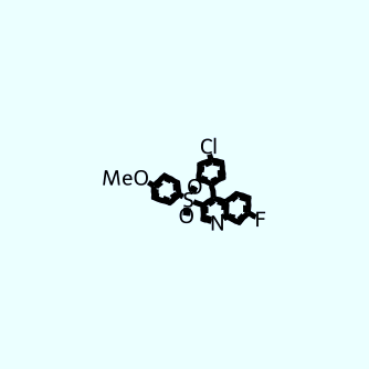 COc1ccc(S(=O)(=O)c2cnc3cc(F)ccc3c2-c2ccc(Cl)cc2)cc1